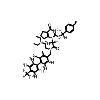 [2H]c1c([2H])c(-c2c([2H])c([2H])c(C(F)(F)F)c([2H])c2[2H])c([2H])c(C)c1CN(CCN(CC)CC)C(=O)C([2H])([2H])n1c(SC([2H])([2H])c2ccc(F)cc2)nc(=O)c2c1CCC2